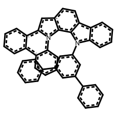 c1ccc(-c2cc(-c3ccccc3)cc(-n3c4ccccc4c4ccc5cc6c7ccccc7c7ccccc7n6c5c43)c2)cc1